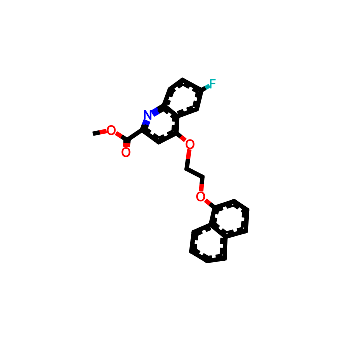 COC(=O)c1cc(OCCOc2cccc3ccccc23)c2cc(F)ccc2n1